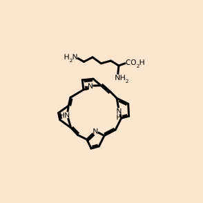 C1=Cc2cc3ccc(cc4nc(cc5ccc(cc1n2)[nH]5)C=C4)[nH]3.NCCCCC(N)C(=O)O